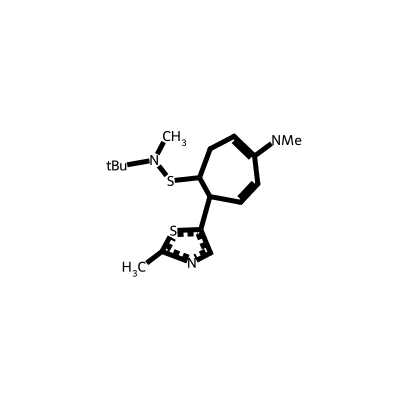 CNC1=CCC(SN(C)C(C)(C)C)C(c2cnc(C)s2)C=C1